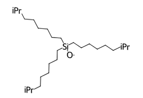 CC(C)CCCCCC[Si]([O])(CCCCCCC(C)C)CCCCCCC(C)C